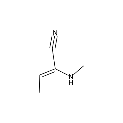 CC=C(C#N)NC